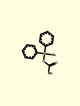 CC(C)(C)C(=O)O[Si](c1ccccc1)(c1ccccc1)C(C)(C)C